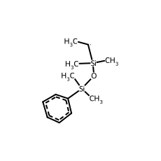 C[CH][Si](C)(C)O[Si](C)(C)c1ccccc1